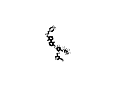 Cc1c(COc2cc(OCc3cncc(C#N)c3)c(CN[C@@](C)(CO)C(=O)O)cc2Cl)cccc1-c1cccc(CN(C)CCN2CCS(=O)(=O)CC2)c1C